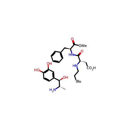 COC(=O)[C@H](Cc1ccccc1)NC(=O)[C@H](CC(=O)O)NCCC(C)(C)C.C[C@H](N)[C@H](O)c1ccc(O)c(O)c1